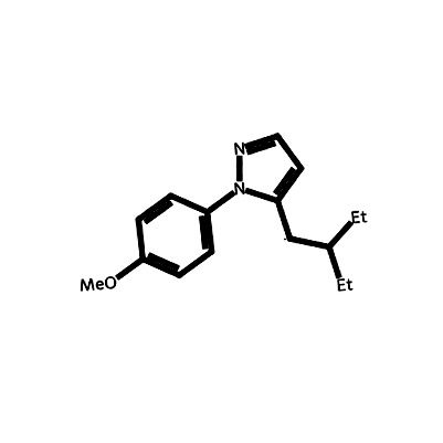 CCC([CH]c1ccnn1-c1ccc(OC)cc1)CC